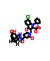 COC(=O)c1c(Cn2ccc(C(=O)N[C@H]3[C@@H]4C[C@H]5C[C@H]3C[C@](O)(C5)C4)cc2=O)c(=O)c2ccc(Cl)cc2n1-c1ccccc1